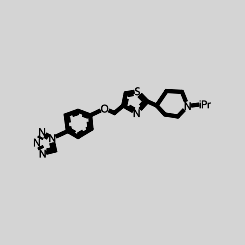 CC(C)N1CCC(c2nc(COc3ccc(-n4cnnn4)cc3)cs2)CC1